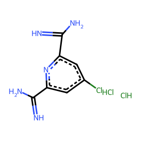 Cl.Cl.N=C(N)c1cc(Cl)cc(C(=N)N)n1